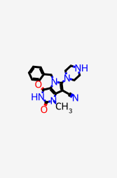 Cn1c(=O)[nH]c(=O)c2c1c(C#N)c(N1CCNCC1)n2Cc1ccccc1